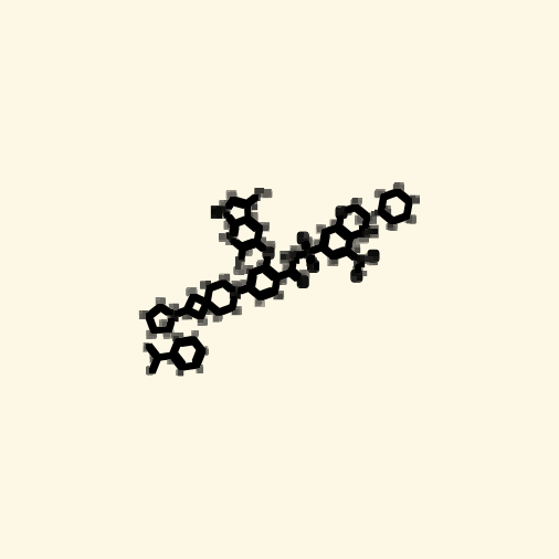 CC(C)c1ccccc1[C@@H]1CCCN1C1CC2(CCN(c3ccc(C(=O)NS(=O)(=O)c4cc5c(c([N+](=O)[O-])c4)N[C@@H](C4CCCCC4)CO5)c(Oc4cc5c(F)c[nH]c5nc4F)c3)CC2)C1